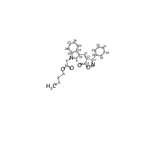 CCCCOC(=O)Cn1cc(C=C2C(=O)ON=C2c2ccccc2)c2ccccc21